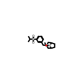 CSN1C2CCC1CN(Cc1cccc(S(=O)(=O)C(C)C)c1)C2